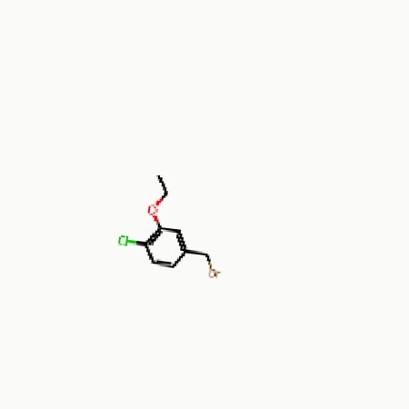 CCOc1cc(CBr)ccc1Cl